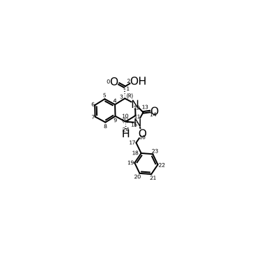 O=C(O)[C@H]1c2ccccc2[C@H]2CN1C(=O)N2OCc1ccccc1